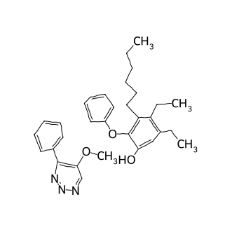 CCCCCCc1c(CC)c(CC)cc(O)c1Oc1ccccc1.COc1cnnnc1-c1ccccc1